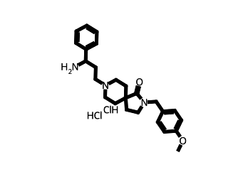 COc1ccc(CN2CCC3(CCN(CCC(N)c4ccccc4)CC3)C2=O)cc1.Cl.Cl